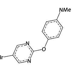 CNc1ccc(Oc2ncc(Br)cn2)cc1